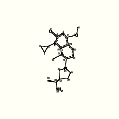 COc1cc(=O)n(C2CC2)c2c(C)c(N3CCC([C@H](C)N)C3)ccc12